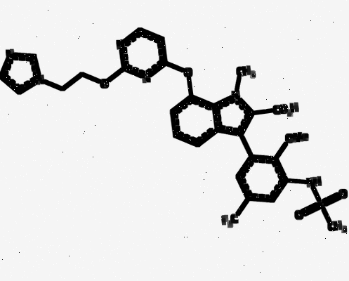 COc1c(NS(C)(=O)=O)cc(C(F)(F)F)cc1-c1c(C(=O)O)n(C)c2c(Oc3ccnc(OCCn4ccnc4)n3)cccc12